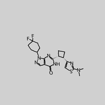 CN(C)c1nc([C@H]2CC[C@H]2c2nc3c(cnn3C3CCC(F)(F)CC3)c(=O)[nH]2)cs1